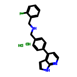 Cl.Cl.Fc1ccccc1CNCc1ccc(-c2ccnc3[nH]ccc23)cc1